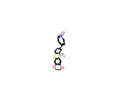 [O-][n+]1ccc(-c2ccc(Sc3ccc4c(c3)OCCO4)c(C(F)(F)F)c2)cc1